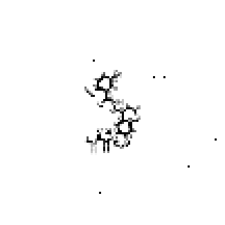 CNC(=S)NS(=O)(=O)c1cc2c(cc1OC)OCCC2CNC(=O)c1cc(Br)ccc1OC